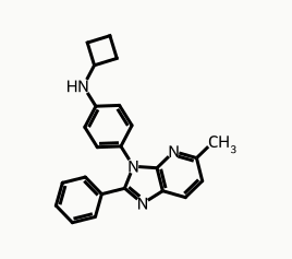 Cc1ccc2nc(-c3ccccc3)n(-c3ccc(NC4CCC4)cc3)c2n1